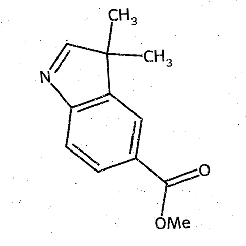 COC(=O)c1ccc2c(c1)C(C)(C)[C]=N2